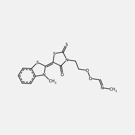 C/N=C/OOCCN1C(=O)/C(=C2/Sc3ccccc3N2C)SC1=S